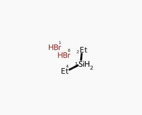 Br.Br.CC[SiH2]CC